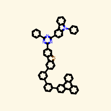 c1ccc(-c2nc(-c3ccc4c(c3)sc3ccc(-c5cccc(-c6cccc(-c7ccc8c9ccccc9c9ccccc9c8c7)c6)c5)cc34)nc(-c3ccc4c(c3)c3ccccc3n4-c3ccccc3)n2)cc1